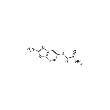 NC(=O)NSc1ccc2sc(N)nc2c1